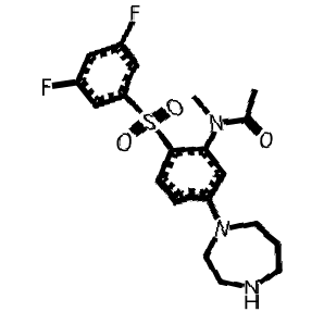 CC(=O)N(C)c1cc(N2CCCNCC2)ccc1S(=O)(=O)c1cc(F)cc(F)c1